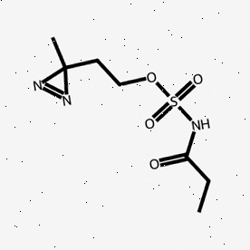 CCC(=O)NS(=O)(=O)OCCC1(C)N=N1